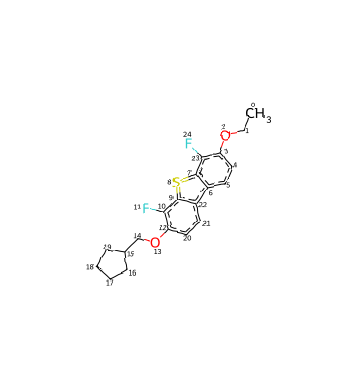 CCOc1ccc2c(sc3c(F)c(OCC4CCCC4)ccc32)c1F